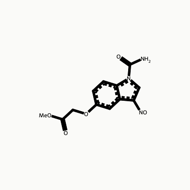 COC(=O)COc1ccc2c(c1)c(N=O)cn2C(N)=O